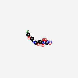 O=C1CCC(N2C(=O)c3ccc(C4(O)CCN(Cc5cccc(Oc6ccc(F)cc6)c5)CC4)cc3C2=O)C(=O)N1